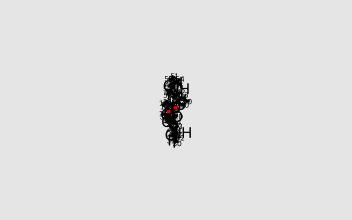 CC[C@H](C)[C@@H]([C@@H](CC(=O)N1CCC[C@H]1[C@H](OC)[C@@H](C)C(=O)N(c1ccc(NC(=O)C(F)(F)F)cc1)S(C)(=O)=O)OC)N(C)C(=O)[C@@H](NC(=O)[C@H](C(C)C)N(C)C)C(C)C